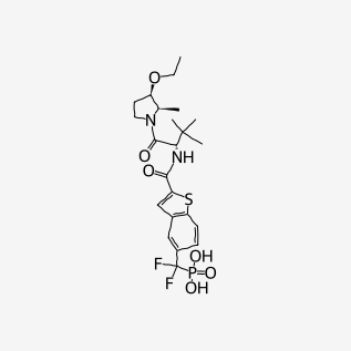 CCO[C@@H]1CCN(C(=O)[C@@H](NC(=O)c2cc3cc(C(F)(F)P(=O)(O)O)ccc3s2)C(C)(C)C)[C@@H]1C